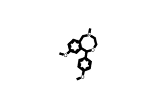 COc1ccc(C2OCCN(C)Cc3ccc(OC)cc32)cc1